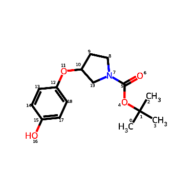 CC(C)(C)OC(=O)N1CCC(Oc2ccc(O)cc2)C1